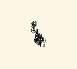 Cc1cc(CNC(=O)CCC2CCN(Cl)CC2)ccc1C(=O)N1Cc2cnn(C)c2Nc2cc(Cl)ccc21